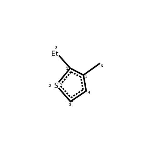 CCc1s[c]cc1C